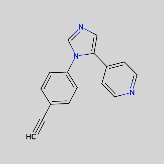 C#Cc1ccc(-n2cncc2-c2ccncc2)cc1